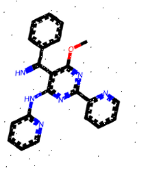 COc1nc(-c2ccccn2)nc(Nc2ccccn2)c1C(=N)c1ccccc1